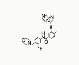 Cc1ccc(C(=O)Nc2ccc(CN3CCOCC3)c(CF)c2)cc1C#Cc1cnc2cnccn12